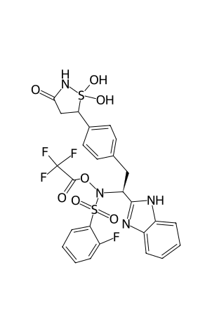 O=C1CC(c2ccc(C[C@@H](c3nc4ccccc4[nH]3)N(OC(=O)C(F)(F)F)S(=O)(=O)c3ccccc3F)cc2)S(O)(O)N1